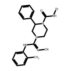 CCNC(=O)N1CCN(/C(=N\C#N)Nc2ccccc2C)CC1c1ccccc1